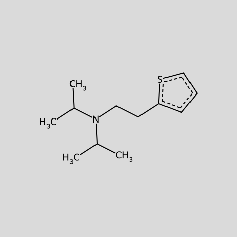 CC(C)N(CCc1cccs1)C(C)C